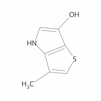 Cc1csc2c(O)c[nH]c12